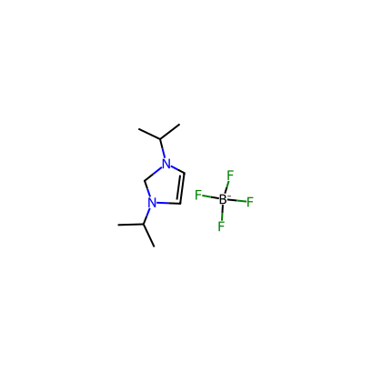 CC(C)N1C=CN(C(C)C)C1.F[B-](F)(F)F